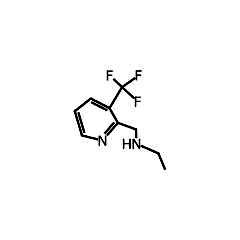 CCNCc1ncccc1C(F)(F)F